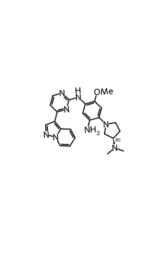 COc1cc(N2CC[C@@H](N(C)C)C2)c(N)cc1Nc1nccc(-c2cnn3ccccc23)n1